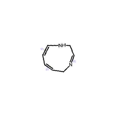 C1=C\C/N=C\CN\C=C/1